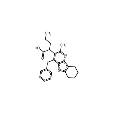 CCCC(C(=O)O)c1c(C)nc2c3c(sc2c1Sc1ccccc1)CCCC3